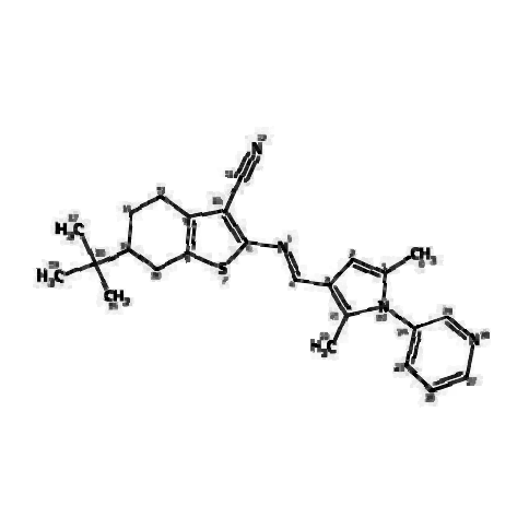 Cc1cc(C=Nc2sc3c(c2C#N)CCC(C(C)(C)C)C3)c(C)n1-c1cccnc1